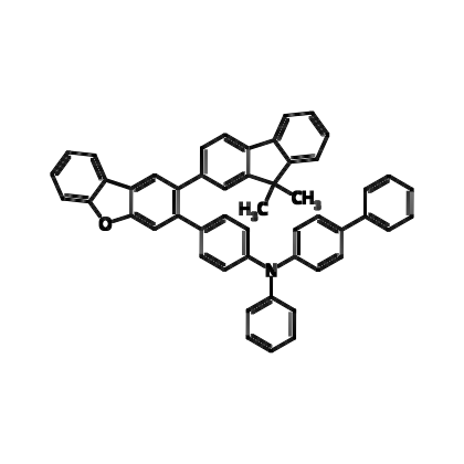 CC1(C)c2ccccc2-c2ccc(-c3cc4c(cc3-c3ccc(N(c5ccccc5)c5ccc(-c6ccccc6)cc5)cc3)oc3ccccc34)cc21